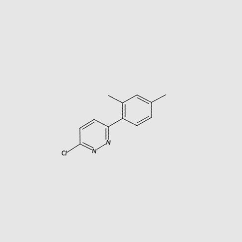 Cc1ccc(-c2ccc(Cl)nn2)c(C)c1